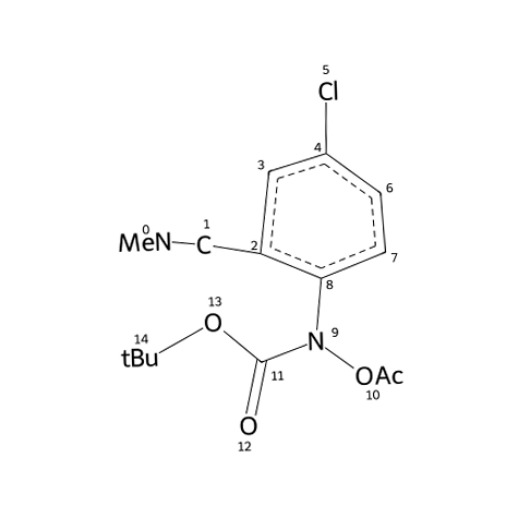 CNCc1cc(Cl)ccc1N(OC(C)=O)C(=O)OC(C)(C)C